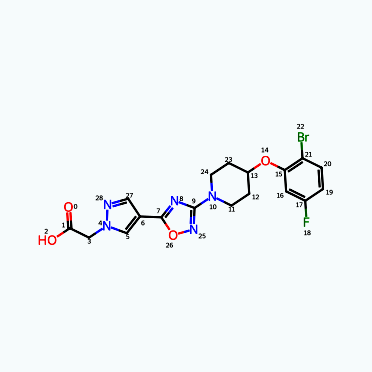 O=C(O)Cn1cc(-c2nc(N3CCC(Oc4cc(F)ccc4Br)CC3)no2)cn1